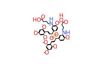 COc1cc(OC)c(C=CC(c2ccc(OC)c(NCCCC(=O)O)c2)S(=O)(=O)C(C=Cc2c(OC)cc(OC)cc2OC)c2ccc(OC)c(NCCCC(=O)O)c2)c(OC)c1